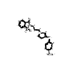 COc1ccc(OC2CCN(CCCN3C(=O)c4ccccc4S3(=O)=O)C2)cc1